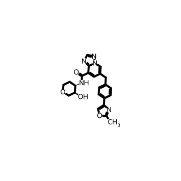 Cc1nc(-c2ccc(Cc3cc(C(=O)N[C@H]4CCOC[C@@H]4O)c4ncnn4c3)cc2)co1